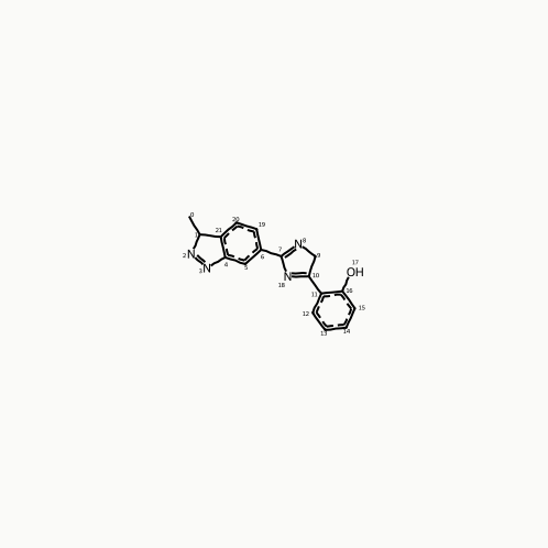 CC1N=Nc2cc(C3=NCC(c4ccccc4O)=N3)ccc21